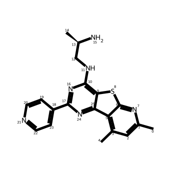 Cc1cc(C)c2c(n1)sc1c(NC[C@@H](C)N)nc(-c3ccncc3)nc12